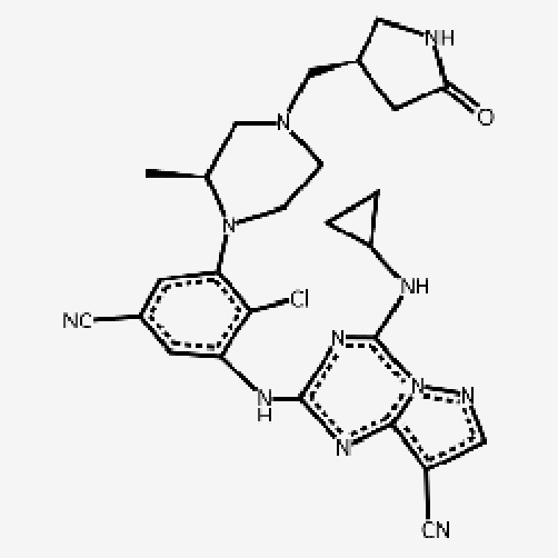 C[C@H]1CN(C[C@H]2CNC(=O)C2)CCN1c1cc(C#N)cc(Nc2nc(NC3CC3)n3ncc(C#N)c3n2)c1Cl